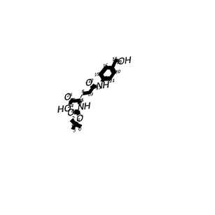 CC(C)(C)OC(=O)N[C@@H](CCC(=O)Nc1ccc(CO)cc1)C(=O)O